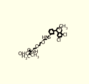 CN1Cc2c(Cl)cc(Cl)cc2C(c2cccc(SNCCOCCOCCNC(=O)C(C)(C)C=O)c2)C1